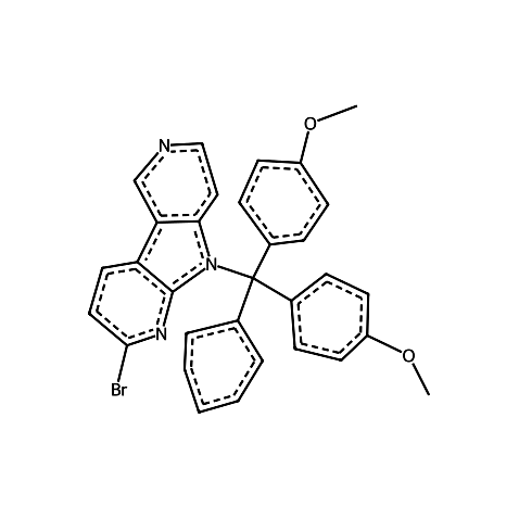 COc1ccc(C(c2ccccc2)(c2ccc(OC)cc2)n2c3ccncc3c3ccc(Br)nc32)cc1